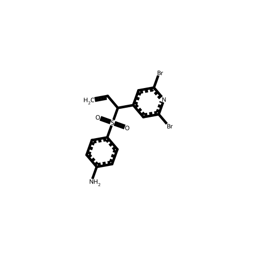 C=CC(c1cc(Br)nc(Br)c1)S(=O)(=O)c1ccc(N)cc1